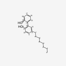 CCCCCCCCc1ccc(O)c(-c2ccccc2O)c1